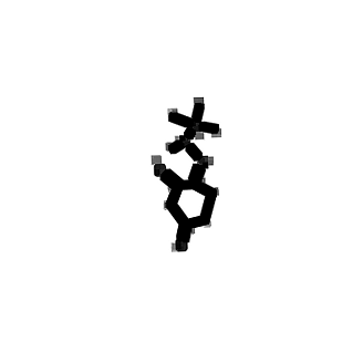 CN(/N=C1/CCC(=O)CC1=O)[Si](C)(C)C